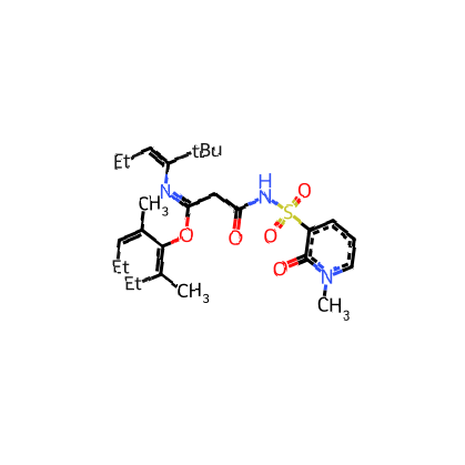 CC/C=C(C)\C(O/C(CC(=O)NS(=O)(=O)c1cccn(C)c1=O)=N/C(=C\CC)C(C)(C)C)=C(\C)CC